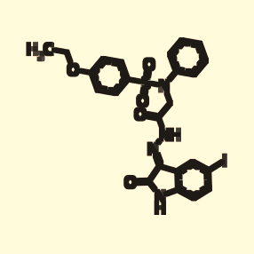 CCOc1ccc(S(=O)(=O)N(CC(=O)N/N=C2/C(=O)Nc3ccc(I)cc32)c2ccccc2)cc1